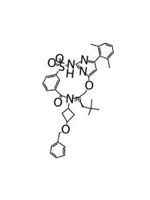 Cc1cccc(C)c1-c1cc2nc(n1)NS(=O)(=O)c1cccc(c1)C(=O)N(C1CC(OCc3ccccc3)C1)[C@H](CC(C)(C)C)CO2